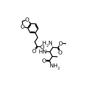 COC(=O)[C@@H](N)C(NOC(=O)CCc1ccc2c(c1)OCO2)C(C)C(N)=O